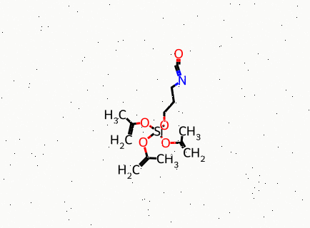 C=C(C)O[Si](OCCCN=C=O)(OC(=C)C)OC(=C)C